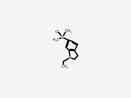 CCN1CCc2ccc([Si](C)(C)Cl)cc21